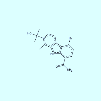 Cc1c(C(C)(C)O)ccc2c1[nH]c1c(C(N)=O)ccc(Br)c12